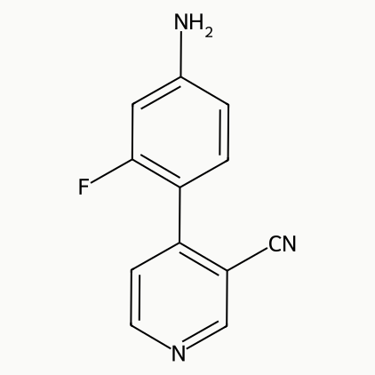 N#Cc1cnccc1-c1ccc(N)cc1F